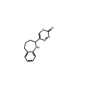 O=c1nnc(C2CCCc3ccccc3N2)cs1